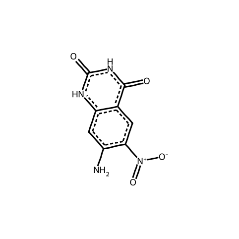 Nc1cc2[nH]c(=O)[nH]c(=O)c2cc1[N+](=O)[O-]